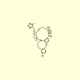 CC[C@@H]1CC/C=C/[C@H](OCc2nnnn2C)[C@@H]2CC[C@H]2CN2CCCCc3cc(Cl)ccc3COc3ccc(cc32)C(=O)NS1(=O)=O